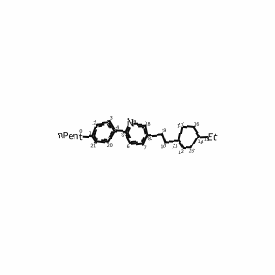 CCCCCc1ccc(-c2ccc(CCC3CCC(CC)CC3)cn2)cc1